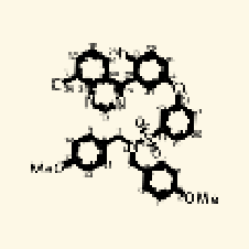 COc1ccc(CN(Cc2ccc(OC)cc2)S(=O)(=O)c2cccc(Oc3ccc(F)c(-c4ncnc5c(Cl)cccc45)c3)c2)cc1